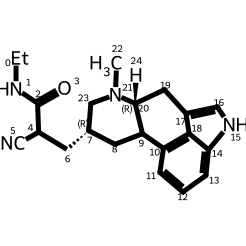 CCNC(=O)C(C#N)C[C@H]1CC2c3cccc4[nH]cc(c34)C[C@H]2N(C)C1